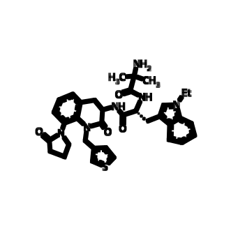 CCn1cc(C[C@@H](NC(=O)C(C)(C)N)C(=O)NC2Cc3cccc(N4CCCC4=O)c3N(Cc3ccsc3)C2=O)c2ccccc21